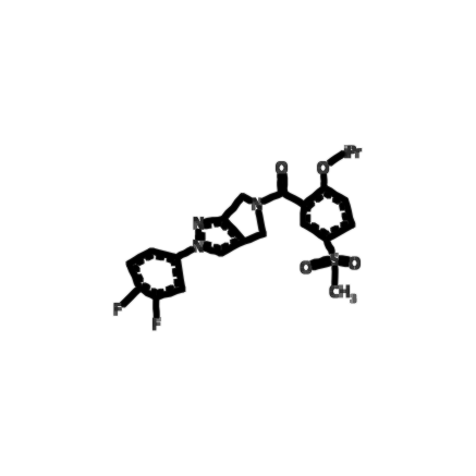 CC(C)Oc1ccc(S(C)(=O)=O)cc1C(=O)N1Cc2cn(-c3ccc(F)c(F)c3)nc2C1